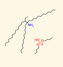 CCCCCCCCCCCCC(CC)C(N)(CCCCCCCCCCCC)CCCCCCCCCCCC.CCCCOP(=O)(O)OCCCC